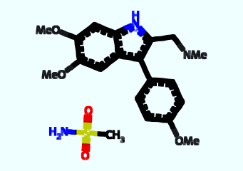 CNCc1[nH]c2cc(OC)c(OC)cc2c1-c1ccc(OC)cc1.CS(N)(=O)=O